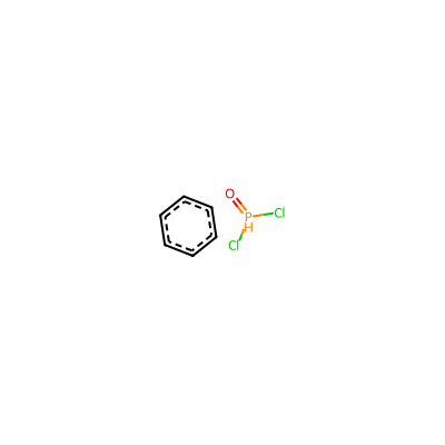 O=[PH](Cl)Cl.c1ccccc1